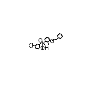 Cc1c(NC(=O)c2cc(Cl)ccc2O)cccc1OCCc1ccccc1